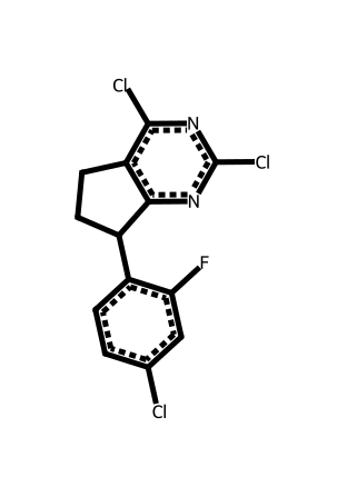 Fc1cc(Cl)ccc1C1CCc2c(Cl)nc(Cl)nc21